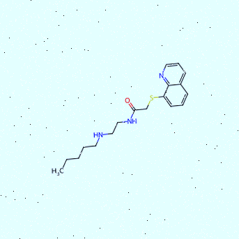 CCCCCNCCNC(=O)CSc1cccc2cccnc12